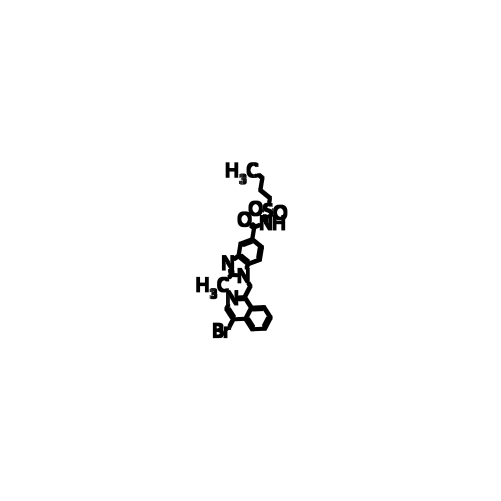 CCCCS(=O)(=O)NC(=O)c1ccc2c(c1)nc(C)n2Cc1ncc(Br)c2ccccc12